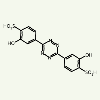 O=S(=O)(O)c1ccc(-c2nnc(-c3ccc(S(=O)(=O)O)c(O)c3)nn2)cc1O